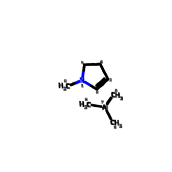 CN1C=CCC1.[CH3][Al]([CH3])[CH3]